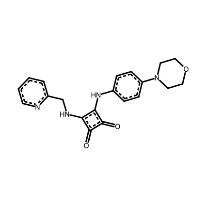 O=c1c(NCc2ccccn2)c(Nc2ccc(N3CCOCC3)cc2)c1=O